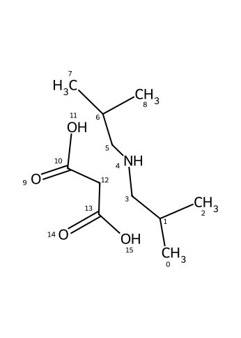 CC(C)CNCC(C)C.O=C(O)CC(=O)O